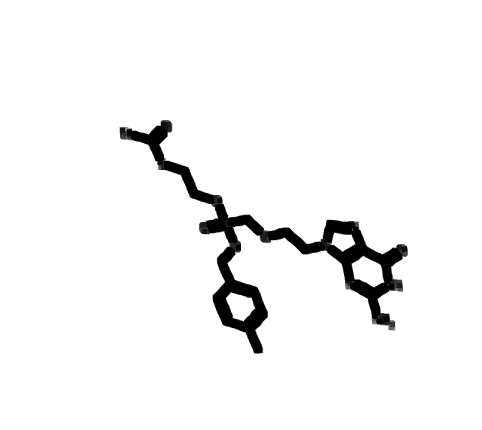 CCC(=O)SCCOP(=O)(COCCn1cnc2c(=O)[nH]c(N)nc21)OCc1ccc(C)cc1